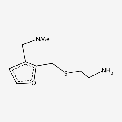 CNCc1ccoc1CSCCN